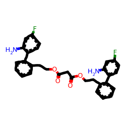 Nc1cc(F)ccc1-c1ccccc1CCOC(=O)CC(=O)OCCc1ccccc1-c1ccc(F)cc1N